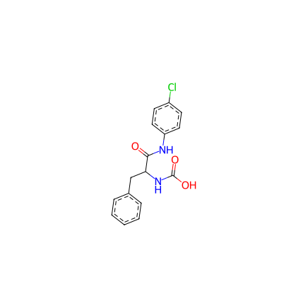 O=C(O)NC(Cc1ccccc1)C(=O)Nc1ccc(Cl)cc1